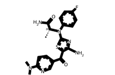 C[C@H](C(N)=O)N(c1ccc(F)cc1)c1nc(N)c(C(=O)c2ccc(N(C)C)nc2)s1